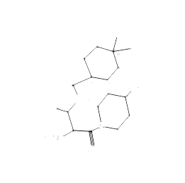 CC(=O)NC(C(=O)N1CCC(O)CC1)C(C)OCC1CCC(F)(F)CC1